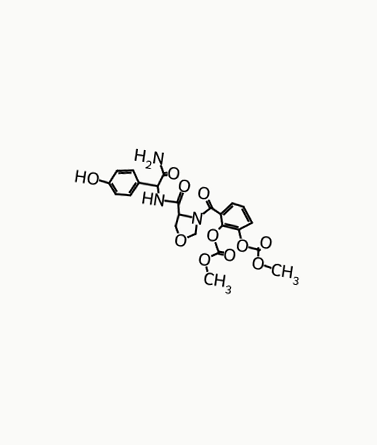 COC(=O)Oc1cccc(C(=O)N2COCC2C(=O)NC(C(N)=O)c2ccc(O)cc2)c1OC(=O)OC